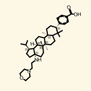 CC(C)[C@@H]1CC[C@]2(NCCN3CCOCC3)CC[C@]3(C)[C@H](CCC4[C@@]5(C)CC[C@H](c6ccc(C(=O)O)cc6)C(C)(C)C5CC[C@]43C)C12